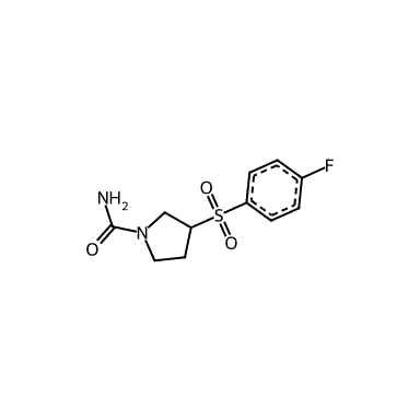 NC(=O)N1CCC(S(=O)(=O)c2ccc(F)cc2)C1